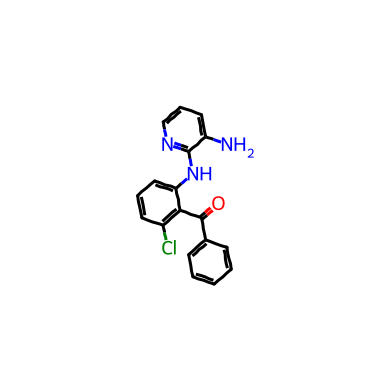 Nc1cccnc1Nc1cccc(Cl)c1C(=O)c1ccccc1